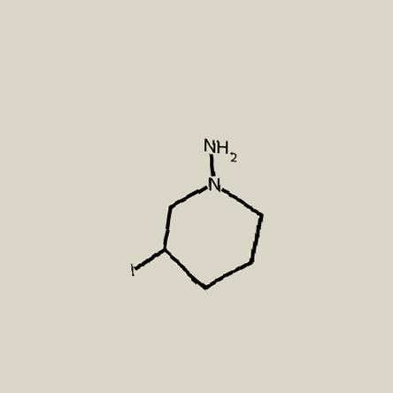 NN1CCCC(I)C1